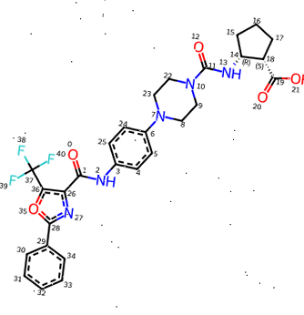 O=C(Nc1ccc(N2CCN(C(=O)N[C@@H]3CCC[C@@H]3C(=O)O)CC2)cc1)c1nc(-c2ccccc2)oc1C(F)(F)F